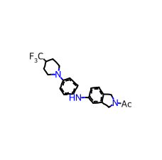 CC(=O)N1Cc2ccc(Nc3ccc(N4CCC(C(F)(F)F)CC4)cc3)cc2C1